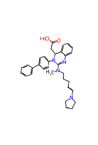 CN(CCCCCN1CCCC1)C1=Nc2ccccc2C(CC(=O)O)N1c1ccc(-c2ccccc2)cc1